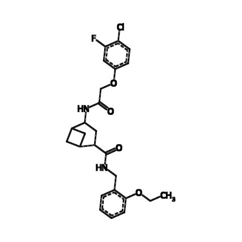 CCOc1ccccc1CNC(=O)C1CC(NC(=O)COc2ccc(Cl)c(F)c2)C2CC1C2